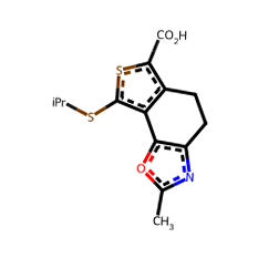 Cc1nc2c(o1)-c1c(SC(C)C)sc(C(=O)O)c1CC2